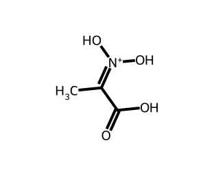 CC(C(=O)O)=[N+](O)O